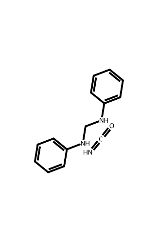 N=C=O.c1ccc(NCNc2ccccc2)cc1